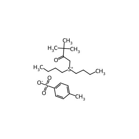 CCCC[S+](CCCC)CC(=O)C(C)(C)C.Cc1ccc(S(=O)(=O)[O-])cc1